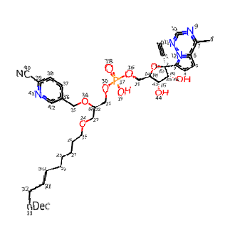 C#C[C@@]1(c2ccc3c(C)ncnn23)O[C@H](COP(=O)(O)OC[C@@H](COCCCCCCCCCCCCCCCCCC)OCc2ccc(C#N)nc2)[C@@H](O)[C@H]1O